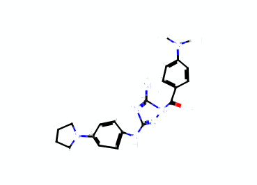 CN(C)c1ccc(C(=O)n2nc(Nc3ccc(N4CCCC4)cc3)nc2N)cc1